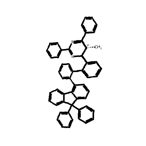 C[C@H]1C(c2ccccc2)=NC(c2ccccc2)=NC1c1ccccc1-c1ccccc1-c1cccc2c1-c1ccccc1C2(c1ccccc1)c1ccccc1